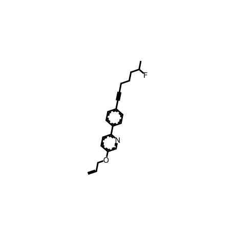 C=CCOc1ccc(-c2ccc(C#CCCCC(C)F)cc2)nc1